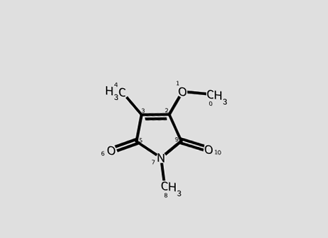 COC1=C(C)C(=O)N(C)C1=O